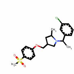 CC1CC(COc2ccc(S(C)(=O)=O)cc2)CN1C(C)c1cccc(Cl)c1